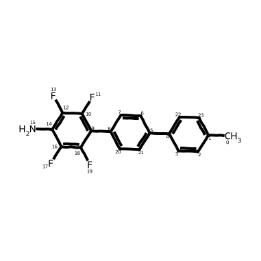 Cc1ccc(-c2ccc(-c3c(F)c(F)c(N)c(F)c3F)cc2)cc1